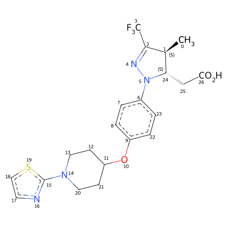 C[C@@H]1C(C(F)(F)F)=NN(c2ccc(OC3CCN(c4nccs4)CC3)cc2)[C@H]1CC(=O)O